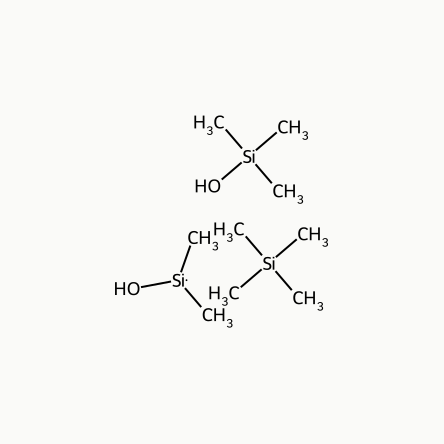 C[Si](C)(C)C.C[Si](C)(C)O.C[Si](C)O